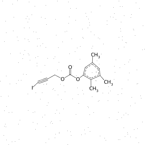 Cc1cc(C)c(C)c(OC(=O)OCC#CI)c1